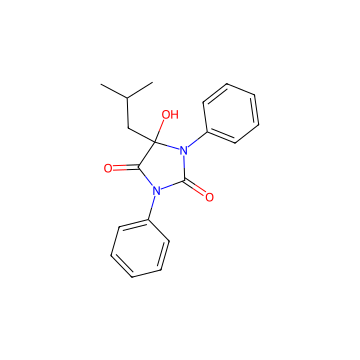 CC(C)CC1(O)C(=O)N(c2ccccc2)C(=O)N1c1ccccc1